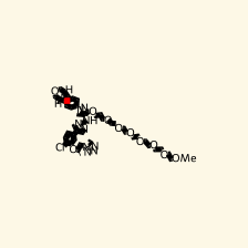 COCCOCCOCCOCCOCCOCCOCCCOc1nn(C2CCC(N3[C@@H]4CC[C@H]3COC4)CC2)cc1Nc1ncc(-c2ccc(Cl)c(O[C@@H](C)Cn3cnnn3)c2)cn1